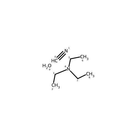 C#N.CCN(CC)CC.O